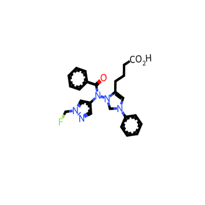 O=C(O)CCCC1=CN(c2ccccc2)CN1N(C(=O)c1ccccc1)c1cnn(CF)c1